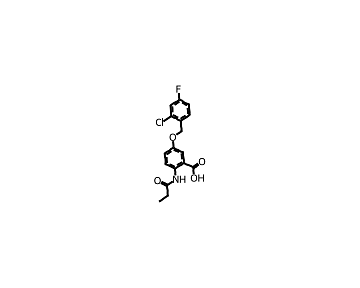 CCC(=O)Nc1ccc(OCc2ccc(F)cc2Cl)cc1C(=O)O